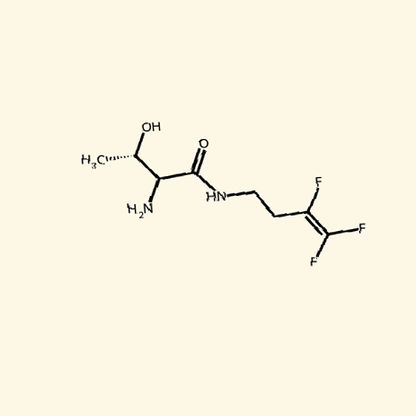 C[C@H](O)C(N)C(=O)NCCC(F)=C(F)F